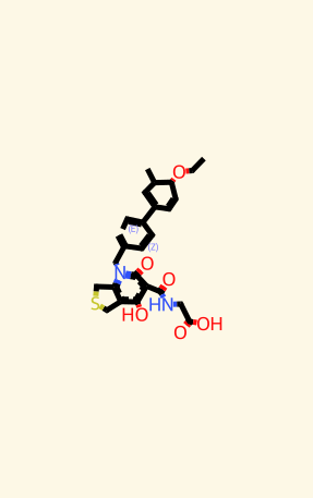 C=C(/C=C\C(=C/C)C1=CC(C)C(OCC)C=C1)Cn1c2c(c(O)c(C(=O)NCC(=O)O)c1=O)CSC2